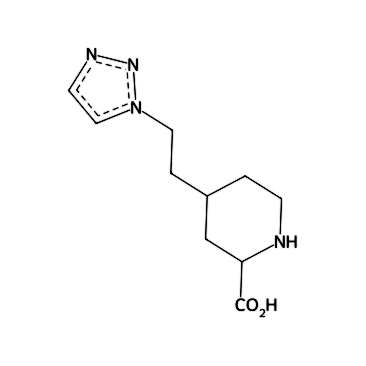 O=C(O)C1CC(CCn2ccnn2)CCN1